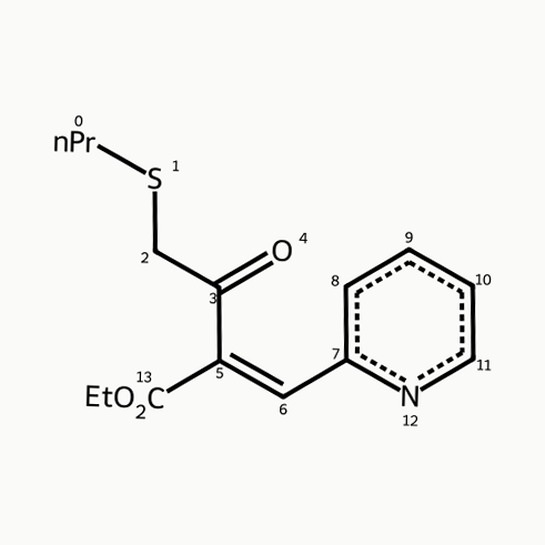 CCCSCC(=O)C(=Cc1ccccn1)C(=O)OCC